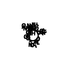 CCc1ccncc1-c1c2c3cc(ccc3n1CC)-c1cc(cc(O[Si](C(C)C)(C(C)C)C(C)C)c1)C[C@H](NC(=O)[C@H](C(C)C)N(C)C(=O)CN(C)C(=O)[C@H]1CN1C(C)=O)C(=O)N1CCC[C@H](N1)C(=O)OCC(C)(C)C2